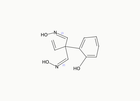 C=CC(/C=N\O)(/C=N\O)c1ccccc1O